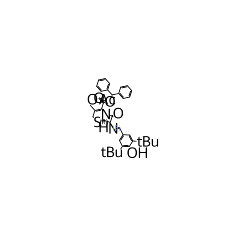 CC(=O)OCC1=C(C(=O)OC(c2ccccc2)c2ccccc2)N2C(=O)C(/N=C/c3cc(C(C)(C)C)c(O)c(C(C)(C)C)c3)[C@H]2SC1